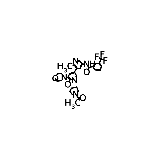 CC(=O)N1CCC(Oc2ncc(-c3cc(NC(=O)c4cccc(C(F)(F)F)c4)cnc3C)cc2N2CCOCC2)CC1